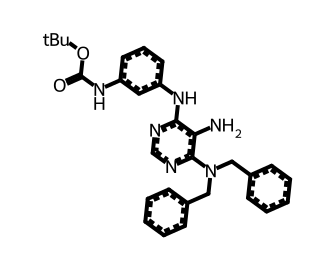 CC(C)(C)OC(=O)Nc1cccc(Nc2ncnc(N(Cc3ccccc3)Cc3ccccc3)c2N)c1